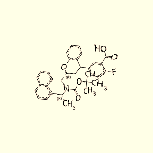 C[C@H](c1cccc2ccccc12)N(C[C@H]1CC(c2ccc(F)c(C(=O)O)c2)c2ccccc2O1)C(=O)OC(C)(C)C